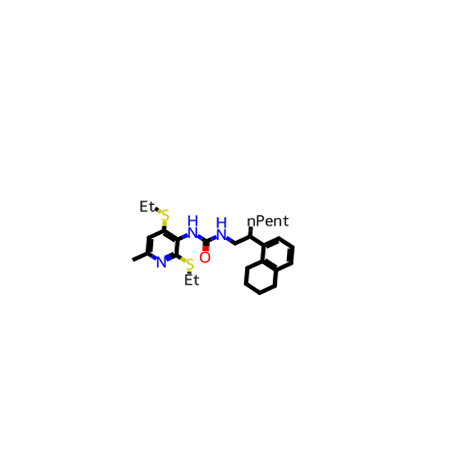 CCCCCC(CNC(=O)Nc1c(SCC)cc(C)nc1SCC)c1cccc2c1CCCC2